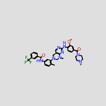 COc1cc(C(=O)N2CCN(C)CC2)ccc1Nc1ncc2c(n1)N(C)CN(c1cc(NC(=O)c3cccc(C(F)(F)F)c3)ccc1C)C2